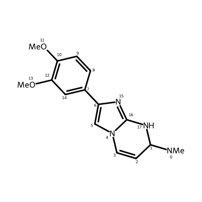 CNC1C=Cn2cc(-c3ccc(OC)c(OC)c3)nc2N1